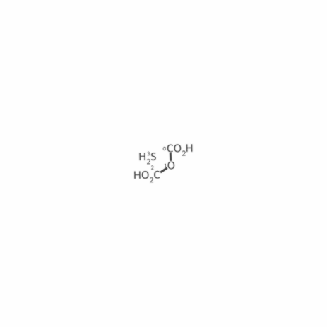 O=C(O)OC(=O)O.S